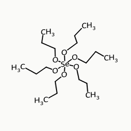 CCCO[Se](OCCC)(OCCC)(OCCC)(OCCC)OCCC